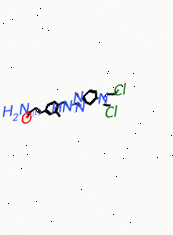 Cc1cc(/C=C/C(N)=O)ccc1CNc1nc2cc(N(CCCl)CCCl)ccc2n1C